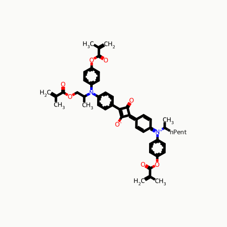 C=C(C)C(=O)OCC(C)N(c1ccc(OC(=O)C(=C)C)cc1)c1ccc(C2=C([O-])C(=C3C=CC(=[N+](c4ccc(OC(=O)C(=C)C)cc4)C(C)CCCCC)C=C3)C2=O)cc1